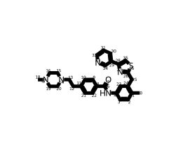 Cc1ccc(NC(=O)c2ccc(CCN3CCN(C)CC3)cc2)cc1Cc1nc(-c2cccnc2)cs1